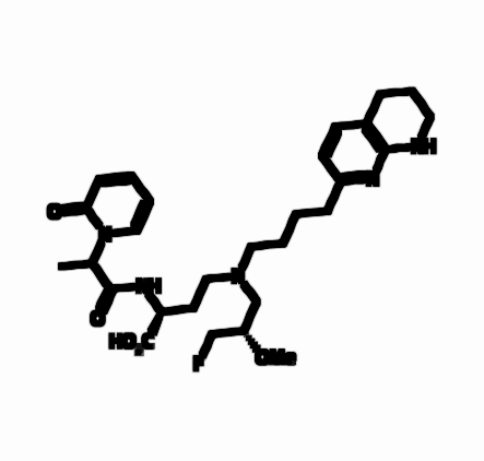 CO[C@H](CF)CN(CCCCc1ccc2c(n1)NCCC2)CC[C@H](NC(=O)C(C)n1ccccc1=O)C(=O)O